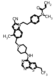 C=CC(=O)N(C)c1ccc(CCn2c(C#N)cc3c(C)c(CN4CCC(Nc5ncnc6sc(CC(F)(F)F)cc56)CC4)ccc32)cc1